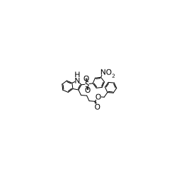 O=C(CCCc1c(S(=O)(=O)c2cccc([N+](=O)[O-])c2)[nH]c2ccccc12)OCc1ccccc1